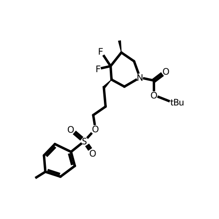 Cc1ccc(S(=O)(=O)OCCC[C@@H]2CN(C(=O)OC(C)(C)C)C[C@H](C)C2(F)F)cc1